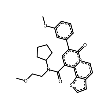 COCCN(C(=O)c1cc(-c2cccc(OC)c2)c(=O)n2ccc3ccsc3c12)C1CCCC1